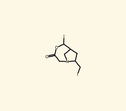 O=C1CN2CC(CC2CI)C(I)O1